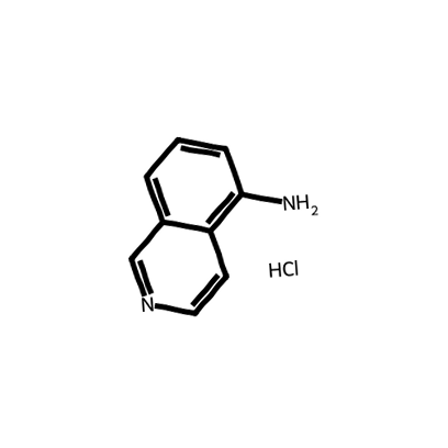 Cl.Nc1cccc2cnccc12